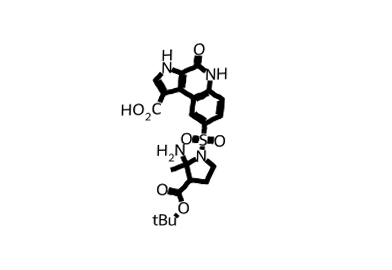 CC(C)(C)OC(=O)C1CCN(S(=O)(=O)c2ccc3[nH]c(=O)c4[nH]cc(C(=O)O)c4c3c2)C1(C)N